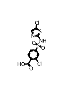 O=C(O)c1ccc(S(=O)(=O)Nc2ncc(Cl)s2)cc1Cl